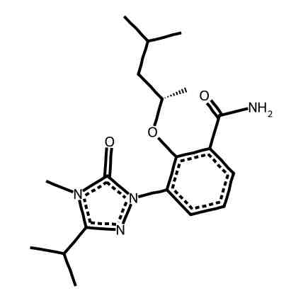 CC(C)C[C@H](C)Oc1c(C(N)=O)cccc1-n1nc(C(C)C)n(C)c1=O